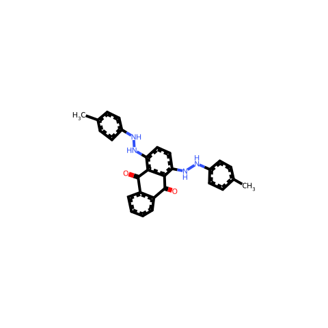 Cc1ccc(NNc2ccc(NNc3ccc(C)cc3)c3c2C(=O)c2ccccc2C3=O)cc1